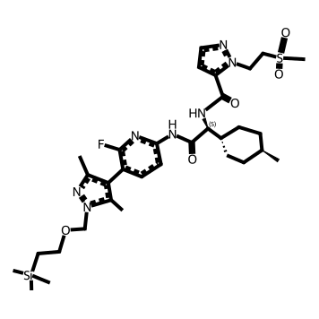 Cc1nn(COCC[Si](C)(C)C)c(C)c1-c1ccc(NC(=O)[C@@H](NC(=O)c2ccnn2CCS(C)(=O)=O)[C@H]2CC[C@H](C)CC2)nc1F